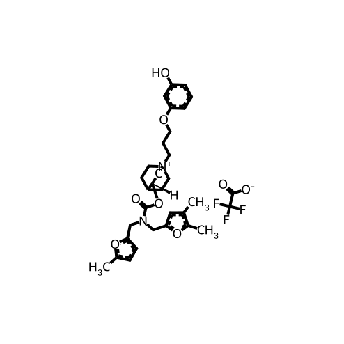 Cc1ccc(CN(Cc2cc(C)c(C)o2)C(=O)O[C@H]2C[N+]3(CCCOc4cccc(O)c4)CCC2CC3)o1.O=C([O-])C(F)(F)F